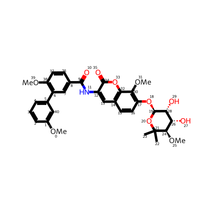 COc1cccc(-c2cc(C(=O)Nc3cc4ccc(O[C@@H]5OC(C)(C)[C@H](OC)[C@@H](O)[C@H]5O)c(OC)c4oc3=O)ccc2OC)c1